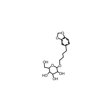 OCC1OC(OCCCCc2ccc3c(c2)OCO3)C(O)C(O)C1O